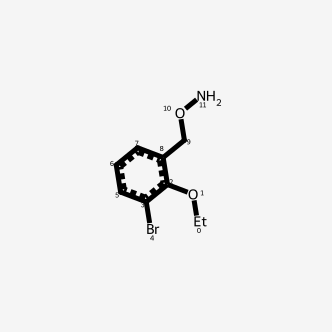 CCOc1c(Br)cccc1CON